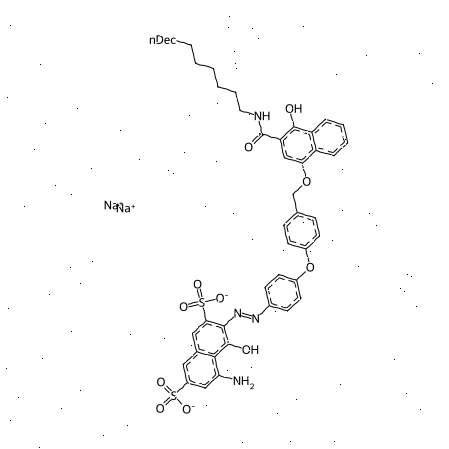 CCCCCCCCCCCCCCCCNC(=O)c1cc(OCc2ccc(Oc3ccc(N=Nc4c(S(=O)(=O)[O-])cc5cc(S(=O)(=O)[O-])cc(N)c5c4O)cc3)cc2)c2ccccc2c1O.[Na+].[Na+]